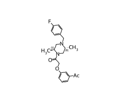 CC(=O)c1cccc(OCC(=O)N2C[C@@H](C)N(Cc3ccc(F)cc3)C[C@@H]2C)c1